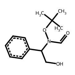 CC(C)(C)ON(C=O)C(CO)c1ccccc1